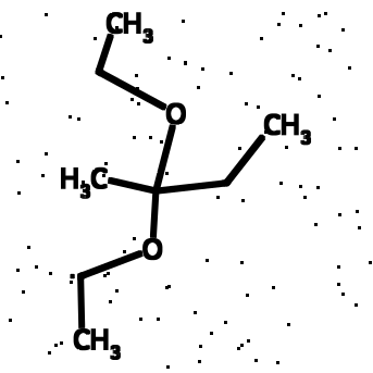 C[CH]OC(C)(CC)OCC